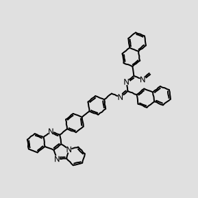 C=N/C(=N\C(=N/Cc1ccc(-c2ccc(-c3nc4ccccc4c4nc5ccccn5c34)cc2)cc1)c1ccc2ccccc2c1)c1ccc2ccccc2c1